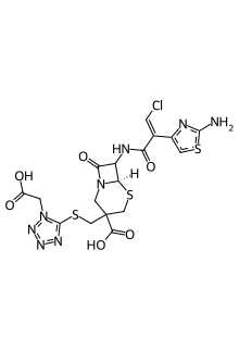 Nc1nc(C(=CCl)C(=O)NC2C(=O)N3CC(CSc4nnnn4CC(=O)O)(C(=O)O)CS[C@H]23)cs1